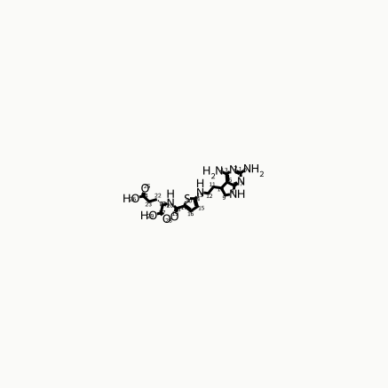 Nc1nc(N)c2c(n1)NCC2CCNc1ccc(C(=O)N[C@@H](CCC(=O)O)C(=O)O)s1